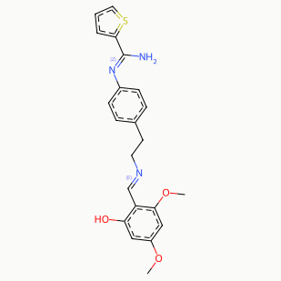 COc1cc(O)c(/C=N/CCc2ccc(/N=C(\N)c3cccs3)cc2)c(OC)c1